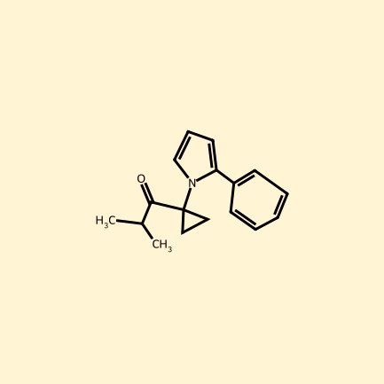 CC(C)C(=O)C1(n2cccc2-c2ccccc2)CC1